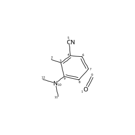 C=O.Cc1c(C#N)cccc1N(C)C